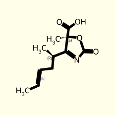 C/C=C/C[C@@H](C)C1=NC(=O)O[C@]1(C)C(=O)O